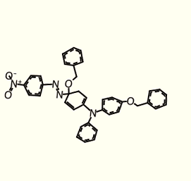 O=[N+]([O-])c1ccc(N=NC2(OCc3ccccc3)C=CC(N(c3ccccc3)c3ccc(OCc4ccccc4)cc3)=CC2)cc1